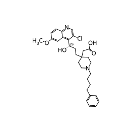 COc1ccc2ncc(Cl)c([C@@H](O)CCC3(CC(=O)O)CCN(CCCCc4ccccc4)CC3)c2c1